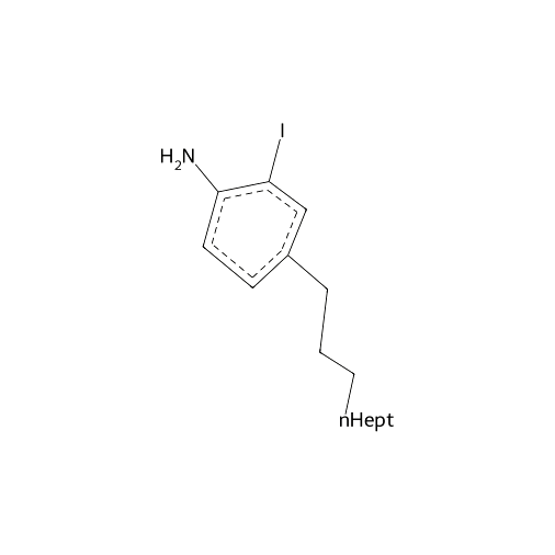 CCCCCCCCCCc1ccc(N)c(I)c1